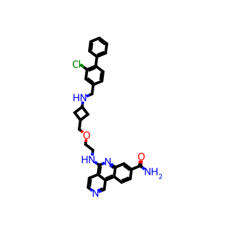 NC(=O)c1ccc2c(c1)nc(NCCOCC1CC(NCc3ccc(-c4ccccc4)c(Cl)c3)C1)c1ccncc12